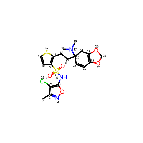 Cc1noc(NS(=O)(=O)c2ccsc2CCC2(N(C)C)C=CC3=C(C2)OCO3)c1Cl